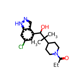 CCC(=O)N1CCC(C(C)(C)C(O)c2cc(Cl)cc3[nH]ncc23)CC1